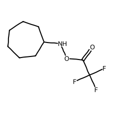 O=C(ONC1CCCCCC1)C(F)(F)F